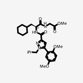 COC(=O)CNC(=O)[C@H](CC1CCCCC1)NC(=O)c1cc(-c2cc(OC)ccc2OC)n(CC(C)C)n1